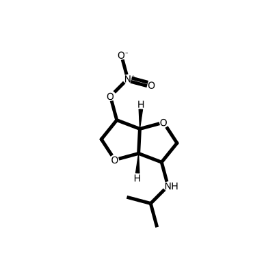 CC(C)NC1CO[C@H]2C(O[N+](=O)[O-])CO[C@@H]12